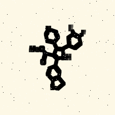 COC(=O)c1c(-c2ccc3c(c2)CCS3)[nH]c(-c2ccc(F)c(F)c2)c1-c1ccncc1